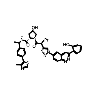 Cc1ncsc1-c1ccc(C(C)NC(=O)[C@@H]2C[C@@H](O)CN2C(=O)C(c2cn(-c3ccc4nnc(-c5ccccc5O)cc4c3)nn2)C(C)C)cc1